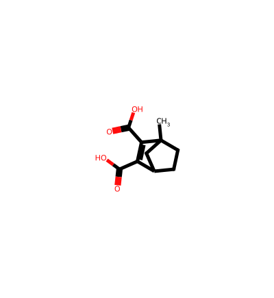 CC12CCC(C1)C(C(=O)O)=C2C(=O)O